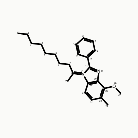 CCCCCCCCC(C)=S1C(c2ccccc2)=Nc2c1ccc(C)c2OC